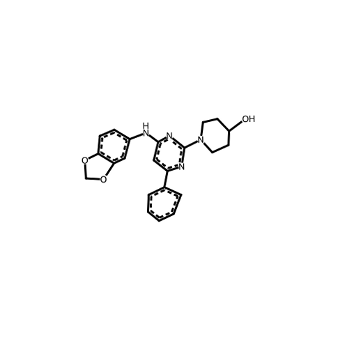 OC1CCN(c2nc(Nc3ccc4c(c3)OCO4)cc(-c3ccccc3)n2)CC1